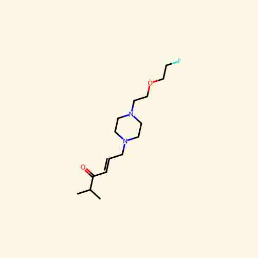 CC(C)C(=O)/C=C/CN1CCN(CCOCCF)CC1